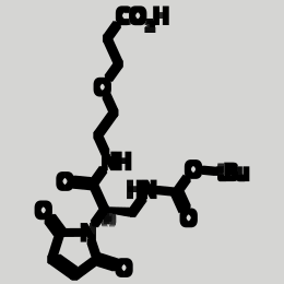 CC(C)(C)OC(=O)NC[C@H](C(=O)NCCOCCC(=O)O)N1C(=O)C=CC1=O